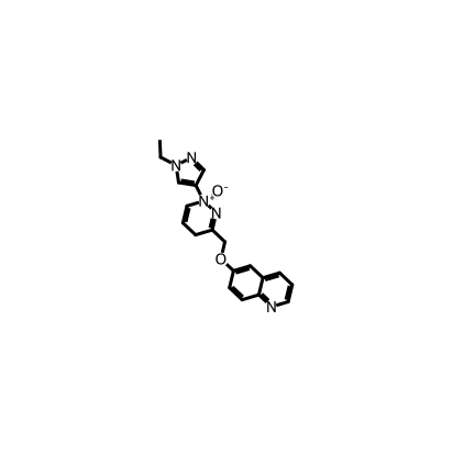 CCn1cc([N+]2([O-])C=CCC(COc3ccc4ncccc4c3)=N2)cn1